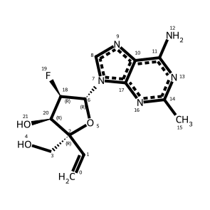 C=C[C@]1(CO)O[C@@H](n2cnc3c(N)nc(C)nc32)[C@H](F)[C@@H]1O